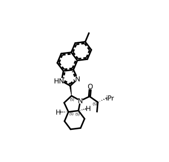 Cc1ccc2c(ccc3[nH]c([C@@H]4C[C@@H]5CCCC[C@@H]5N4C(=O)[C@@H](C)C(C)C)nc32)c1